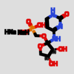 O=c1nc(NC2(OCP(=O)(O)O)OC[C@@H](O)[C@H]2O)cc[nH]1.[NaH].[NaH]